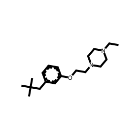 CCN1CCN(CCOc2cccc(CC(C)(C)C)c2)CC1